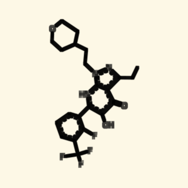 CCc1nn(CCC2CCOCC2)c2[nH]c(-c3cccc(C(F)(F)F)c3F)c(O)c(=O)c12